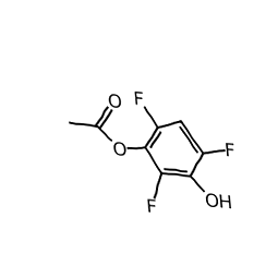 CC(=O)Oc1c(F)cc(F)c(O)c1F